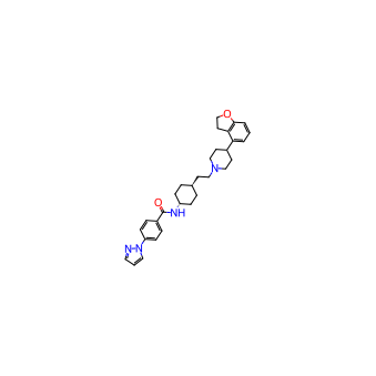 O=C(N[C@H]1CC[C@H](CCN2CCC(c3cccc4c3CCO4)CC2)CC1)c1ccc(-n2cccn2)cc1